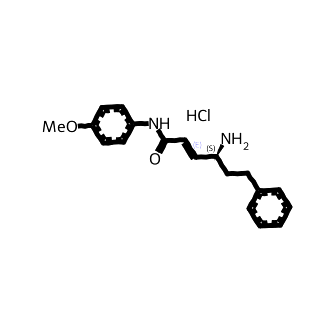 COc1ccc(NC(=O)/C=C/[C@@H](N)CCc2ccccc2)cc1.Cl